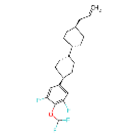 C=CC[C@H]1CC[C@H]([C@H]2CC[C@H](c3cc(F)c(OC(F)F)c(F)c3)CC2)CC1